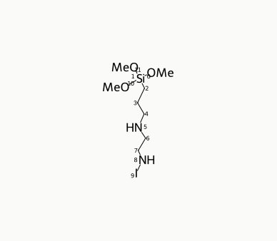 CO[Si](CCCNCCNI)(OC)OC